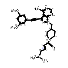 COc1cc(C#Cc2nn(CC3CCN(C(=O)/C=C/CN(C)C)CC3)c3ncnc(N)c23)cc(OC)c1